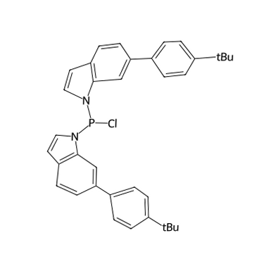 CC(C)(C)c1ccc(-c2ccc3ccn(P(Cl)n4ccc5ccc(-c6ccc(C(C)(C)C)cc6)cc54)c3c2)cc1